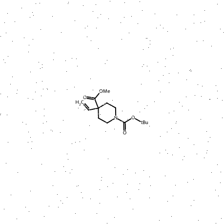 C=CC1(C(=O)OC)CCN(C(=O)OC(C)(C)C)CC1